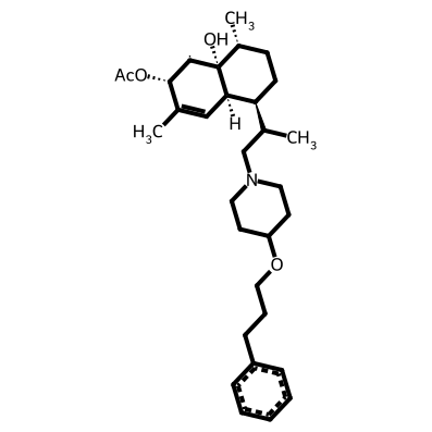 CC(=O)O[C@@H]1[CH][C@@]2(O)[C@H](C)CC[C@@H](C(C)CN3CCC(OCCCc4ccccc4)CC3)[C@H]2C=C1C